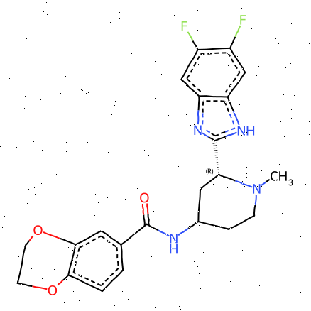 CN1CCC(NC(=O)c2ccc3c(c2)OCCO3)C[C@@H]1c1nc2cc(F)c(F)cc2[nH]1